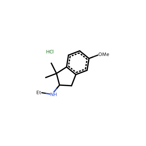 CCNC1Cc2cc(OC)ccc2C1(C)C.Cl